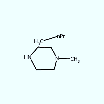 CCCC.CN1CCNCC1